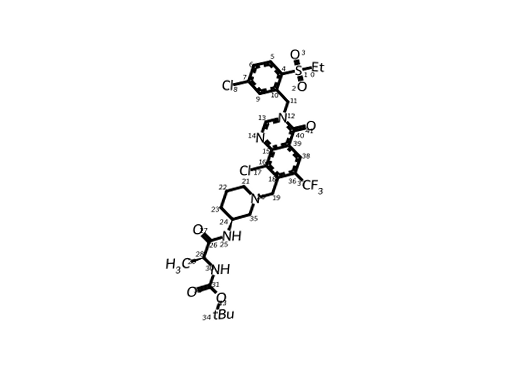 CCS(=O)(=O)c1ccc(Cl)cc1Cn1cnc2c(Cl)c(CN3CCC[C@H](NC(=O)[C@H](C)NC(=O)OC(C)(C)C)C3)c(C(F)(F)F)cc2c1=O